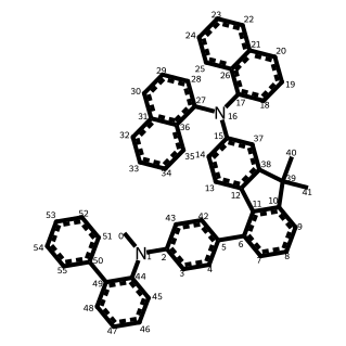 CN(c1ccc(-c2cccc3c2-c2ccc(N(c4cccc5ccccc45)c4cccc5ccccc45)cc2C3(C)C)cc1)c1ccccc1-c1ccccc1